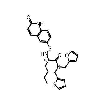 CCCC[C@@H](NSc1ccc2[nH]c(=O)ccc2c1)C(=O)N(Cc1ccco1)Cc1cccs1